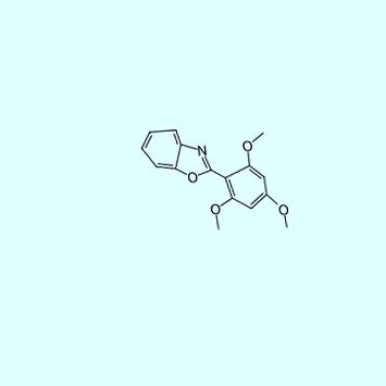 COc1cc(OC)c(-c2nc3ccccc3o2)c(OC)c1